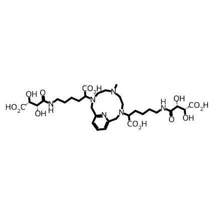 CN1CCN(C(CCCCNC(=O)[C@H](O)[C@@H](O)C(=O)O)C(=O)O)Cc2cccc(n2)CN(C(CCCCNC(=O)[C@H](O)[C@@H](O)C(=O)O)C(=O)O)CC1